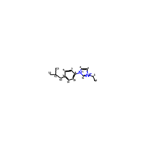 CC[n+]1ccn(-c2ccc(CC(C)C)cc2)c1